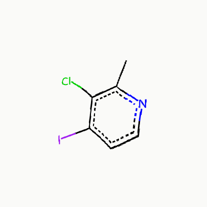 Cc1nccc(I)c1Cl